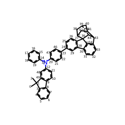 CC1(C)c2ccccc2-c2ccc(N(c3ccccc3)c3ccc(-c4ccc5c(c4)-c4cccc6c4C54C5CC7CC(C5)C6C4C7)cc3)cc21